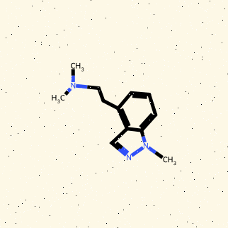 CN(C)CCc1cccc2c1cnn2C